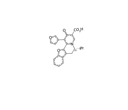 CC(C)[C@@H]1Cc2c(oc3ccccc23)-c2c(-c3ccoc3)c(=O)c(C(=O)O)cn21